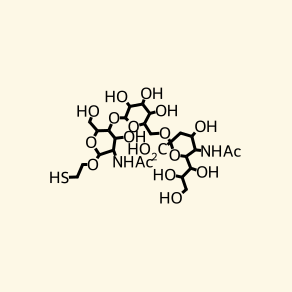 CC(=O)NC1C(OCCS)OC(CO)C(OC2OC(COC3(C(=O)O)CC(O)C(NC(C)=O)C(C(O)C(O)CO)O3)C(O)C(O)C2O)C1O